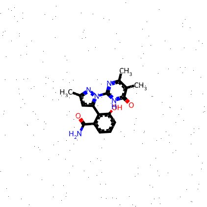 Cc1cc(-c2c(O)cccc2C(N)=O)n(-c2nc(C)c(C)c(=O)[nH]2)n1